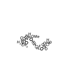 COc1cc(N2CCN(C3CCN(Cc4ccc5c(c4F)C(=O)N(C4CCC(=O)NC4=O)C5=O)CC3)CC2)ccc1Nc1ncc(Cl)c(Nc2ccccc2P(C)C)n1